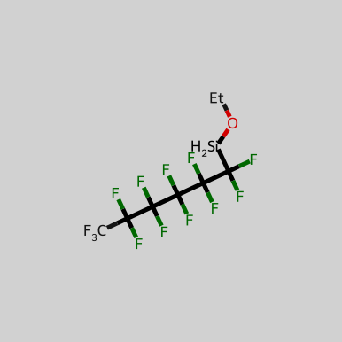 CCO[SiH2]C(F)(F)C(F)(F)C(F)(F)C(F)(F)C(F)(F)C(F)(F)F